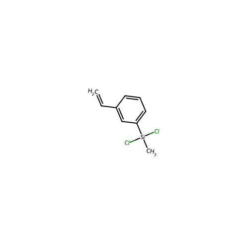 C=Cc1cccc([Si](C)(Cl)Cl)c1